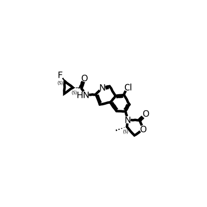 C[C@H]1COC(=O)N1c1cc(Cl)c2cnc(NC(=O)[C@@H]3C[C@@H]3F)cc2c1